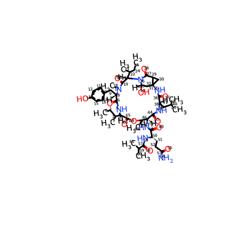 CCC(C)[C@@H]1NC(=O)[C@H](Cc2ccc(O)cc2)N(C)C(=O)[C@H](C(C)CC)N2C(=O)C3CC3(C[C@@H]2O)NC(=O)[C@H](CC(C)C)NC(=O)[C@@H](NC(=O)[C@H](CCC(N)=O)NC(=O)C(C)C)[C@@H](C)OC1=O